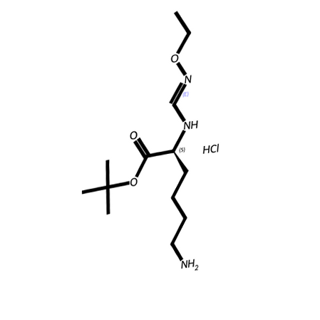 CCO/N=C/N[C@@H](CCCCN)C(=O)OC(C)(C)C.Cl